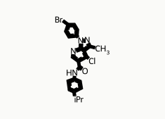 Cc1nn(-c2ccc(Br)cc2)c2ncc(C(=O)Nc3ccc(C(C)C)cc3)c(Cl)c12